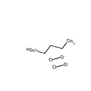 CCC[CH2][SnH+2].[O-]Cl.[O-]Cl